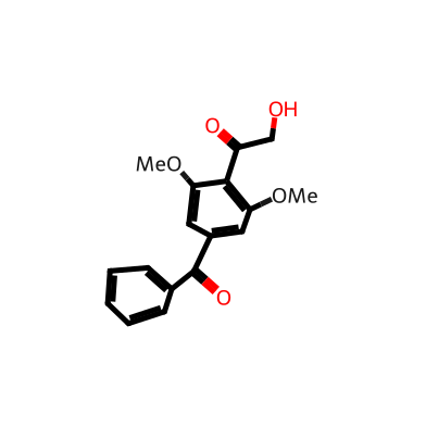 COc1cc(C(=O)c2ccccc2)cc(OC)c1C(=O)CO